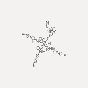 C#CCOCCOCCNC(=O)CCC(CCC(=O)NCCOCCOCC#C)(CCC(=O)NCCOCCOCC#C)NC(=O)CCCCOP(OCCC#N)N(C(C)C)C(C)C